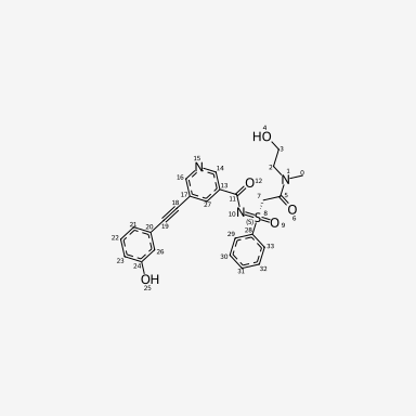 CN(CCO)C(=O)C[S@@](=O)(=NC(=O)c1cncc(C#Cc2cccc(O)c2)c1)c1ccccc1